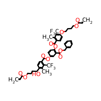 C=CC(=O)OCCCCOc1ccc(C(=O)Oc2ccc(OC(=O)c3ccc(C(O)CCCOC(=O)C=C)c(C)c3C(F)(F)F)cc2C(=O)OCc2ccccc2)c(C)c1C(F)(F)F